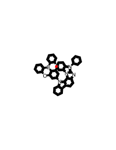 c1ccc(-n2c3ccccc3n3c4c(ccc5c6ccccc6n(-c6cc7c8c(c6)Oc6ccccc6B8c6ccccc6O7)c54)nc23)cc1